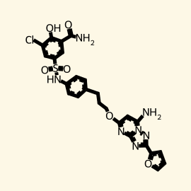 NC(=O)c1cc(S(=O)(=O)Nc2ccc(CCCOc3cc(N)n4nc(-c5ccco5)nc4n3)cc2)cc(Cl)c1O